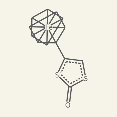 O=c1scc([C]23[CH]4[CH]5[CH]6[CH]2[Fe]56432789[CH]3[CH]2[CH]7[CH]8[CH]39)s1